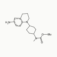 CN(C(=O)OC(C)(C)C)C1CCC(N2CCCc3cc(N)ccc32)CC1